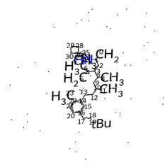 C=C(/C=C(\C(=C)C)C(C)CC(C)CCc1cc(CCC(C)(C)C)ccc1C)NCC1(C)CCC1